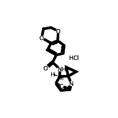 Cl.O=C(N[C@@H]1C2CCN(CC2)C12CC2)c1ccc2c(c1)OCCO2